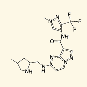 CC1CNC(CNc2ccn3ncc(C(=O)Nc4cn(C)nc4C(F)(F)F)c3n2)C1